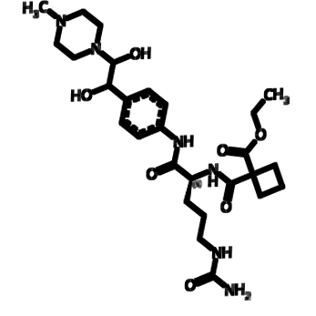 CCOC(=O)C1(C(=O)N[C@@H](CCCNC(N)=O)C(=O)Nc2ccc(C(O)C(O)N3CCN(C)CC3)cc2)CCC1